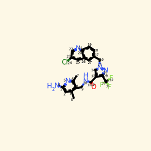 Cc1cc(N)nc(C)c1CNC(=O)c1cn(Cc2ccc3ncc(Cl)cc3c2)nc1C(F)(F)F